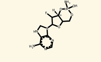 B[PH]1(O)OCC2OC(N3CNc4c(N)ncnc43)C(F)[C@@H]2O1